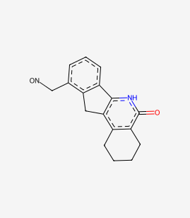 O=NCc1cccc2c1Cc1c-2[nH]c(=O)c2c1CCCC2